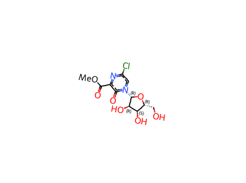 COC(=O)c1nc(Cl)cn([C@@H]2O[C@H](CO)[C@@H](O)[C@H]2O)c1=O